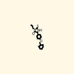 C=CCN1C(=O)C(c2ccc(OCc3ccccc3)cc2)NC1=S